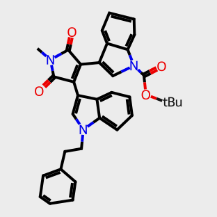 CN1C(=O)C(c2cn(CCc3ccccc3)c3ccccc23)=C(c2cn(C(=O)OC(C)(C)C)c3ccccc23)C1=O